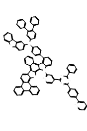 c1ccc(-c2nc(-c3ccc(-c4ccccn4)cc3)nc(-c3ccnc(-n4c5cccc(-c6ccc(N(c7ccc(-c8ccccc8)c(-c8ccccc8)c7)c7ccc8oc9ccccc9c8c7)cc6)c5c5c6ccccc6c6c7ccc8c9ccccc9c9ccccc9c8c7sc6c54)c3)n2)cc1